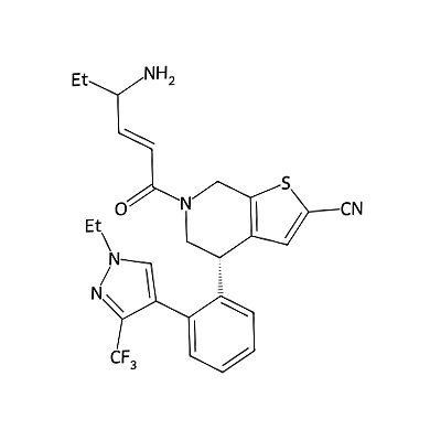 CCC(N)/C=C/C(=O)N1Cc2sc(C#N)cc2[C@H](c2ccccc2-c2cn(CC)nc2C(F)(F)F)C1